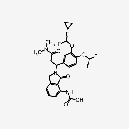 C1CC1.CN(C)C(=O)CC(c1ccc(OC(F)F)c(OC(F)F)c1)N1Cc2cccc(NC(=O)O)c2C1=O